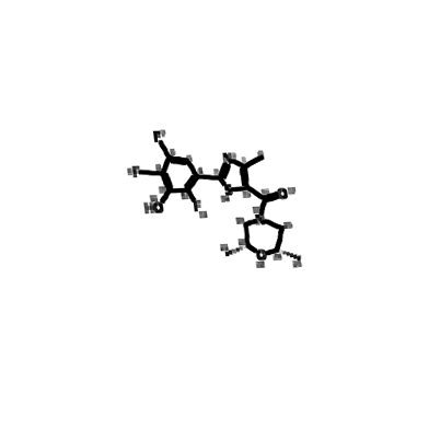 Cc1nc(-c2cc(F)c(F)c(O)c2F)sc1C(=O)N1C[C@@H](C)O[C@@H](C)C1